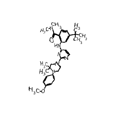 COc1ccc(N2CCN(c3nccc(Nc4cc(C(C)(C)C)ccc4C(=O)N(C)C)n3)CC2(C)C)cc1